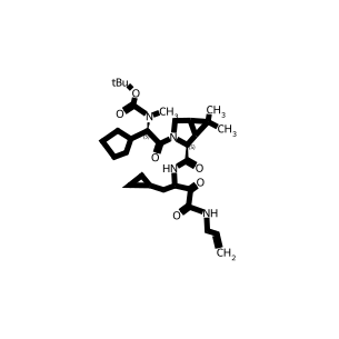 C=CCNC(=O)C(=O)C(CC1CC1)NC(=O)[C@@H]1C2C(CN1C(=O)[C@H](C1CCCC1)N(C)C(=O)OC(C)(C)C)C2(C)C